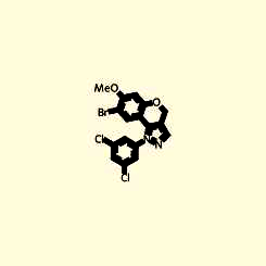 COc1cc2c(cc1Br)-c1c([c]nn1-c1cc(Cl)cc(Cl)c1)CO2